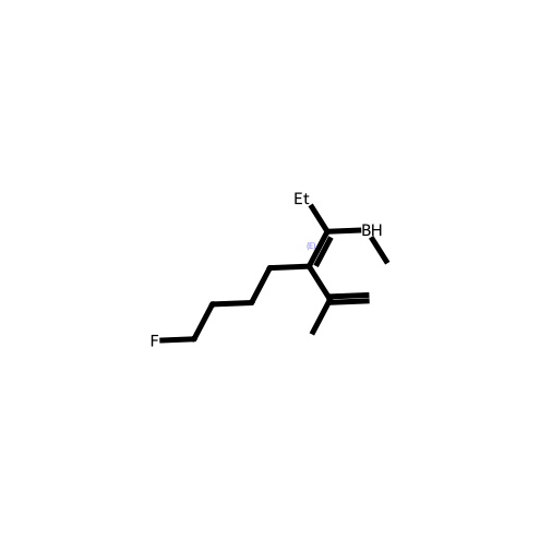 C=C(C)/C(CCCCF)=C(\BC)CC